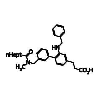 CCCCCCCC(=O)N(C)Cc1cccc(-c2ccc(CCC(=O)O)cc2NCc2ccccc2)c1